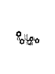 c1ccc(Oc2cccc(Nc3ncnc4c3ccn4C3CCCC3)c2)cc1